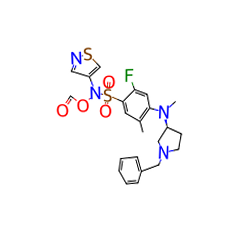 Cc1cc(S(=O)(=O)N(OC=O)c2cnsc2)c(F)cc1N(C)[C@H]1CCN(Cc2ccccc2)C1